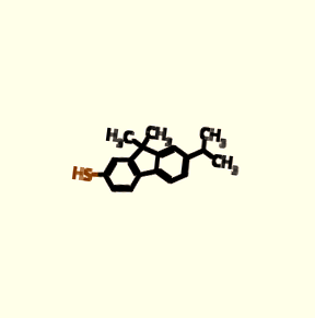 CC(C)c1ccc2c(c1)C(C)(C)c1cc(S)ccc1-2